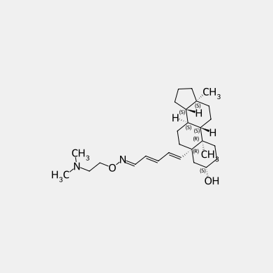 CN(C)CCON=CC=CC=C[C@]12CC[C@H]3[C@@H]4CCC[C@@]4(C)CC[C@@H]3[C@@]1(C)CC[C@H](O)C2